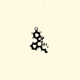 C=CCC(N)c1ccccc1-c1noc2cc(Cl)ccc12